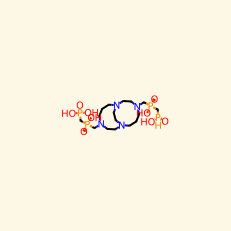 O=[PH](O)CP(=O)(O)CN1CCCN2CCN(CCCN(CP(=O)(O)CP(=O)(O)O)CC2)CC1